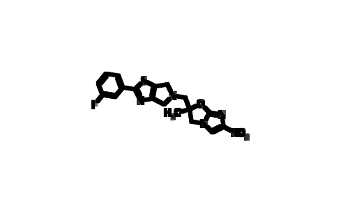 C[C@]1(CN2Cc3nc(-c4cccc(F)c4)sc3C2)Cn2cc([N+](=O)[O-])nc2O1